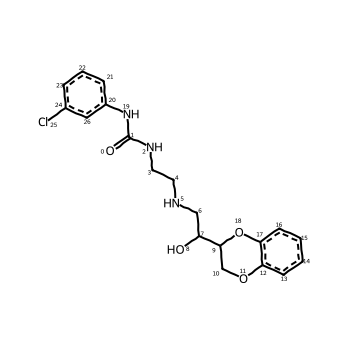 O=C(NCCNCC(O)C1COc2ccccc2O1)Nc1cccc(Cl)c1